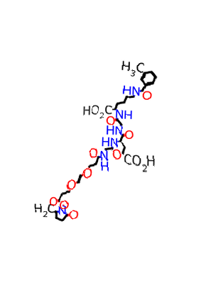 C=C1CCC(=O)N1OC(=O)CCOCCOCCC(=O)NCC(=O)N[C@H](CCC(=O)O)C(=O)NCC(=O)N[C@H](CCCCNC(=O)C1=CCCC(C)=C1)C(=O)O